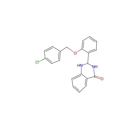 O=C1NC(c2ccccc2OCc2ccc(Cl)cc2)Nc2ccccc21